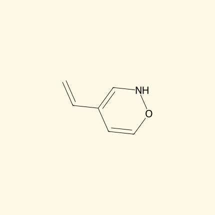 C=CC1=CNOC=C1